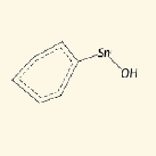 [OH][Sn][c]1ccccc1